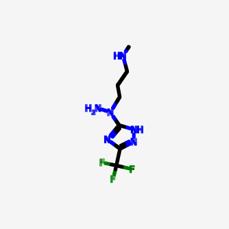 CNCCCN(N)c1nc(C(F)(F)F)n[nH]1